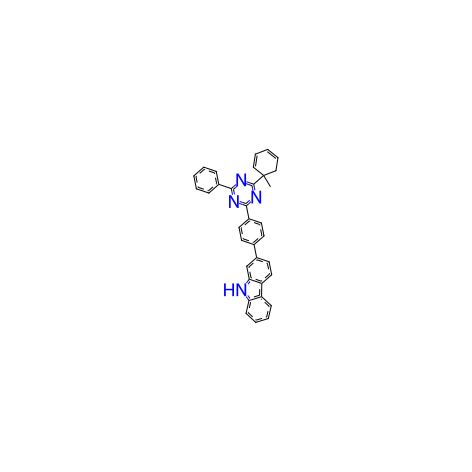 CC1(c2nc(-c3ccccc3)nc(-c3ccc(-c4ccc5c(c4)[nH]c4ccccc45)cc3)n2)C=CC=CC1